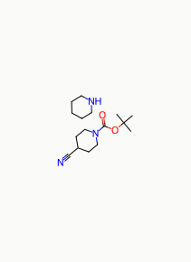 C1CCNCC1.CC(C)(C)OC(=O)N1CCC(C#N)CC1